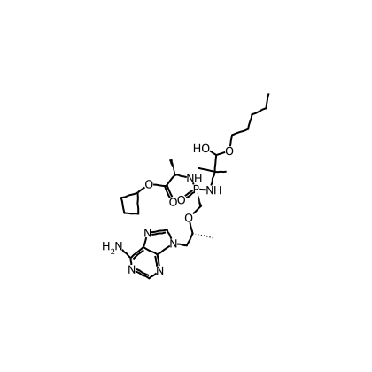 CCCCCOC(O)C(C)(C)N[P@@](=O)(CO[C@H](C)Cn1cnc2c(N)ncnc21)N[C@H](C)C(=O)OC1CCC1